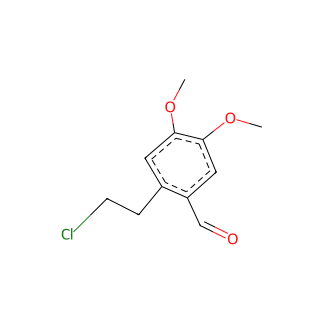 COc1cc(C=O)c(CCCl)cc1OC